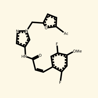 COc1cc(F)c(/C=C\C(=O)Nc2cnn(Cc3ccc(C(C)=O)o3)c2)cc1F